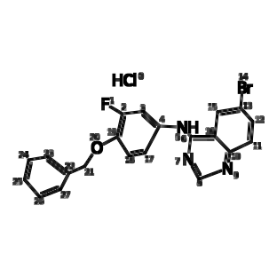 Cl.Fc1cc(Nc2ncnc3ccc(Br)cc23)ccc1OCc1ccccc1